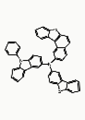 c1ccc(-n2c3ccccc3c3cc(N(c4ccc5sc6ccccc6c5c4)c4ccc5ccc6sc7ccccc7c6c5c4)ccc32)cc1